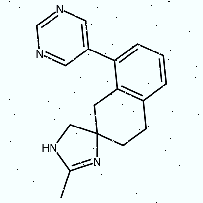 CC1=NC2(CCc3cccc(-c4cncnc4)c3C2)CN1